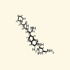 CC(C)C(=C/N)/C=C(\N)Nc1ccc2ncc(/C(C=N)=C/NCC(F)CN3CCCC3)cc2n1